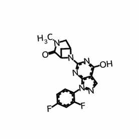 CN1CC2CC(C1=O)N2c1nc(O)c2cnn(-c3ccc(F)cc3F)c2n1